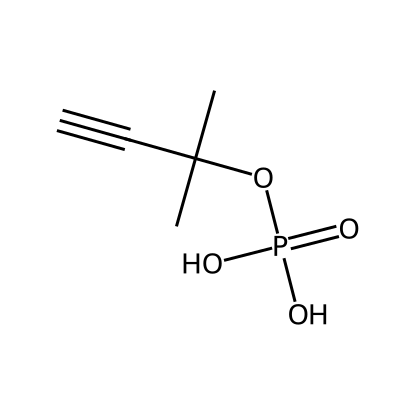 C#CC(C)(C)OP(=O)(O)O